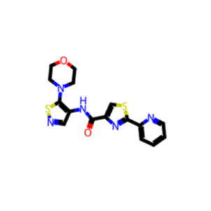 O=C(Nc1cnsc1N1CCOCC1)c1csc(-c2ccccn2)n1